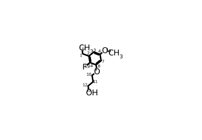 CCc1cc(OC)cc(OCCCO)c1F